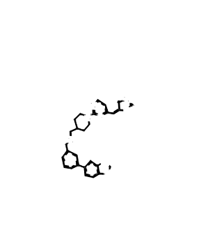 O=C1NC(=O)/C(=C\c2ccnc(N3CCC(CNCc4cccc(-c5ccc6c(c5)OCO6)c4)CC3)n2)S1